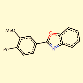 COc1cc(-c2nc3ccccc3o2)ccc1C(C)C